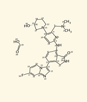 CN(C)Cc1nc(Nc2ccc(-c3cnc4cc(F)ccn34)c3c2C(=O)NC3)ccc1N1CCC[C@@H](O)C1.O=CO